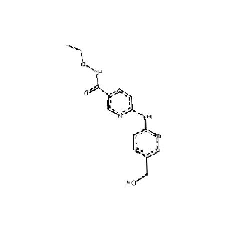 CCONC(=O)c1ccc(Nc2ccc(CO)cn2)nc1